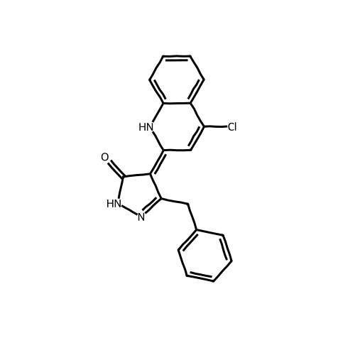 O=C1NN=C(Cc2ccccc2)/C1=C1\C=C(Cl)c2ccccc2N1